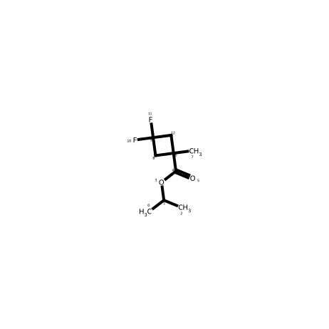 CC(C)OC(=O)C1(C)CC(F)(F)C1